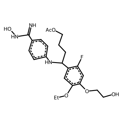 CCOc1cc(C(CCCOC(C)=O)Nc2ccc(C(=N)NO)cc2)c(F)cc1OCCO